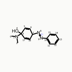 CN(C)C1(O)C=CC(/N=N/c2ccccc2)C=C1